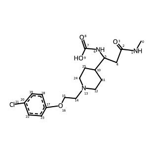 CNC(=O)CC(NC(=O)O)C1CCN(CCOc2ccc(Cl)cc2)CC1